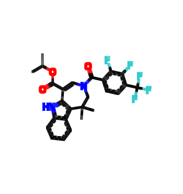 CC(C)OC(=O)C1=CN(C(=O)c2ccc(C(F)(F)F)c(F)c2F)CC(C)(C)c2c1[nH]c1ccccc21